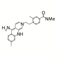 CNC(=O)c1ccc(CCN2C=CC3=C(N)c4ccc(C)cc4NC3=C2)c(C)c1